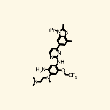 Cc1cc(-c2ccnc(Nc3cc(N)c(N(C)CCN(C)C)cc3OCC(F)(F)F)n2)cc2c1nc(C)n2C(C)C